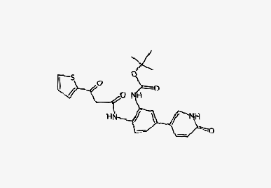 CC(C)(C)OC(=O)Nc1cc(-c2ccc(=O)[nH]c2)ccc1NC(=O)CC(=O)c1cccs1